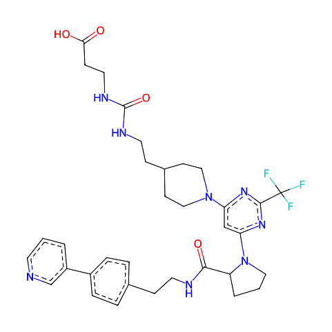 O=C(O)CCNC(=O)NCCC1CCN(c2cc(N3CCCC3C(=O)NCCc3ccc(-c4cccnc4)cc3)nc(C(F)(F)F)n2)CC1